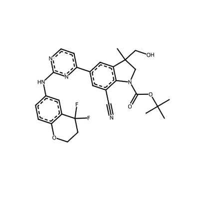 CC(C)(C)OC(=O)N1CC(C)(CO)c2cc(-c3ccnc(Nc4ccc5c(c4)C(F)(F)CCO5)n3)cc(C#N)c21